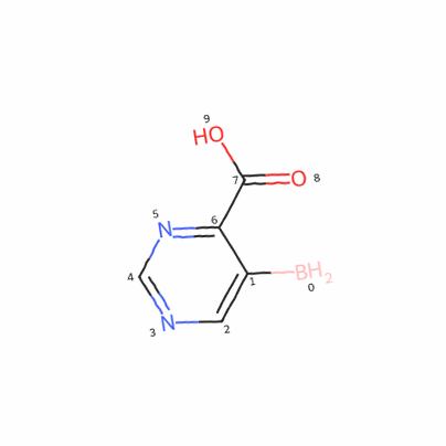 Bc1cncnc1C(=O)O